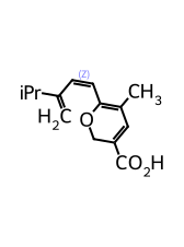 C=C(/C=C\C1=C(C)C=C(C(=O)O)CO1)C(C)C